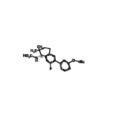 CCCCOc1cccc(-c2cc3c(cc2F)[C@H](NC(=O)O)C(C)(C)CC3)c1